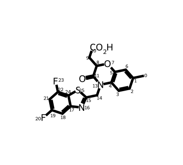 Cc1ccc2c(c1)OC(CC(=O)O)C(=O)N2Cc1nc2cc(F)cc(F)c2s1